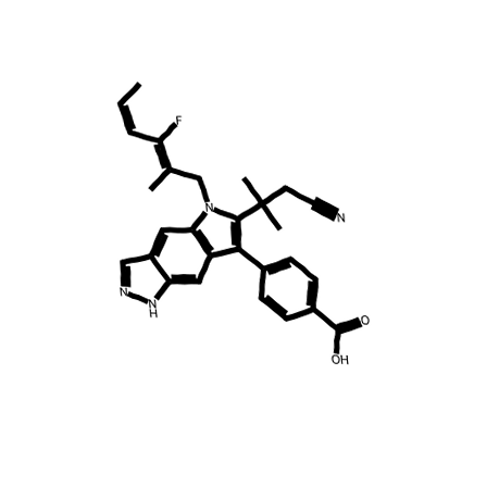 C/C=C\C(F)=C(/C)Cn1c(C(C)(C)CC#N)c(-c2ccc(C(=O)O)cc2)c2cc3[nH]ncc3cc21